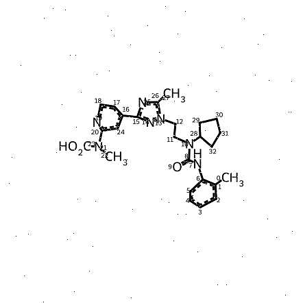 Cc1ccccc1NC(=O)N(CCn1nc(-c2ccnc(N(C)C(=O)O)c2)nc1C)C1CCCC1